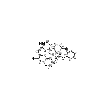 NC(=O)N(c1ccc(F)c(Cl)c1)[N+]1(C(=O)OCc2ccccc2)CC2(CCNCC2)c2ccc(Br)cc21